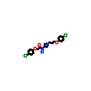 O=C(COc1ccc(Cl)cc1)NC1CN(CCCOc2ccc(Cl)cc2)C1